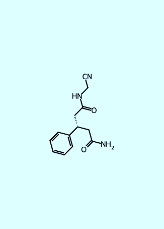 N#CCNC(=O)C[C@H](CC(N)=O)c1ccccc1